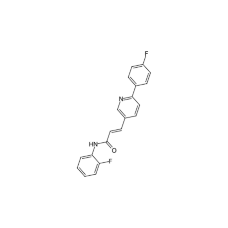 O=C(C=Cc1ccc(-c2ccc(F)cc2)nc1)Nc1ccccc1F